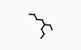 [CH2]CCCC(CC)CCC